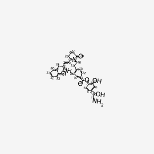 NCC(O)c1ccc(OC(=O)c2ccc(CCN3C(=O)CCC[C@@H]3/C=C/C(O)Cc3ccccc3Cl)cc2)c(O)c1